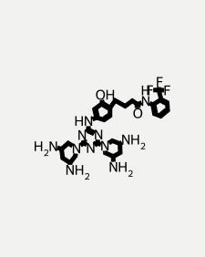 NC1CC(N)CN(c2nc(Nc3ccc(CCCC(=O)Nc4ccccc4C(F)(F)F)c(O)c3)nc(N3CC(N)CC(N)C3)n2)C1